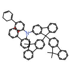 CC1(C)c2ccccc2-c2ccc(C3(c4ccc5c(c4)C(C)(C)c4ccccc4-5)c4ccccc4-c4ccc(N(c5ccc(C6=CC=CCC6)cc5)c5ccccc5-c5ccccc5)cc43)cc21